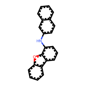 c1ccc2cc(Nc3cccc4c3oc3ccccc34)ccc2c1